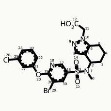 CN(C1CCCc2c1cnn2CC(=O)O)S(=O)(=O)c1cnc(Oc2cccc(Cl)c2)c(Br)c1